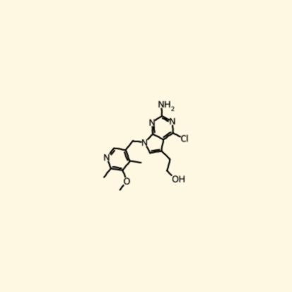 COc1c(C)ncc(Cn2cc(CCO)c3c(Cl)nc(N)nc32)c1C